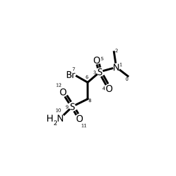 CN(C)S(=O)(=O)C(Br)CS(N)(=O)=O